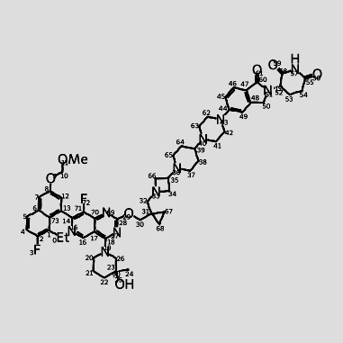 CCc1c(F)ccc2cc(OCOC)cc(-c3ncc4c(N5CCC[C@@](C)(O)C5)nc(OCC5(CN6CC(N7CCC(N8CCN(c9ccc%10c(c9)CN([C@H]9CCC(=O)NC9=O)C%10=O)CC8)CC7)C6)CC5)nc4c3F)c12